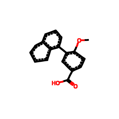 COc1ccc(C(=O)O)cc1-c1cccc2ccccc12